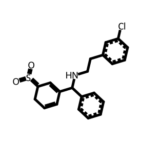 O=S(=O)=C1C=C(C(NCCc2cccc(Cl)c2)c2ccccc2)C=CC1